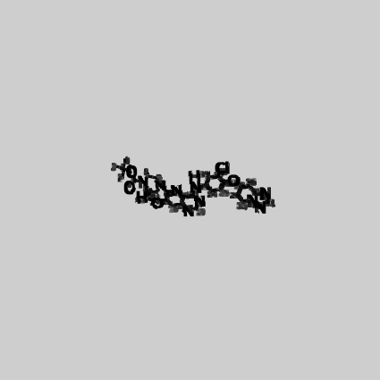 CC(C)(C)OC(=O)N1CCN2C[C@H]1COc1cc3ncnc(Nc4ccc(Oc5ccn6ncnc6c5)c(Cl)c4)c3nc12